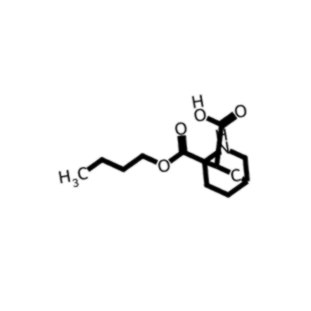 CCCCOC(=O)C12CCC(CN1)CC2C(=O)O